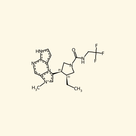 CC[C@@H]1CN(C(=O)NCC(F)(F)F)C[C@@H]1c1c[n+](C)c2cnc3[nH]ccc3n12